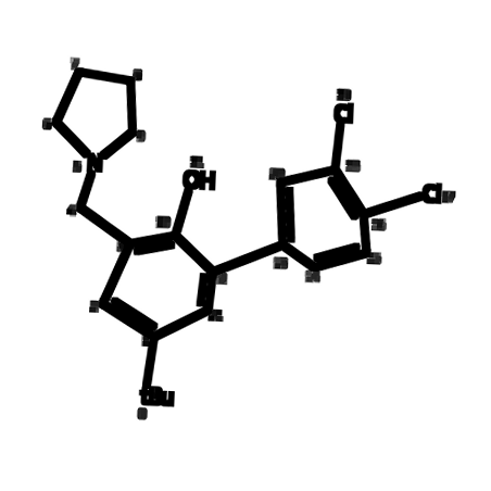 CC(C)(C)c1cc(CN2CCCC2)c(O)c(-c2ccc(Cl)c(Cl)c2)c1